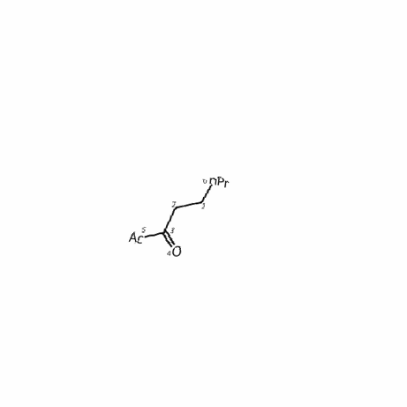 CCCCCC(=O)C(C)=O